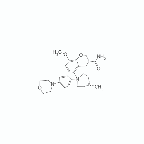 COc1ccc([N+]2(c3ccc(N4CCOCC4)cc3)CCN(C)CC2)c2c1OCC(C(N)=O)C2